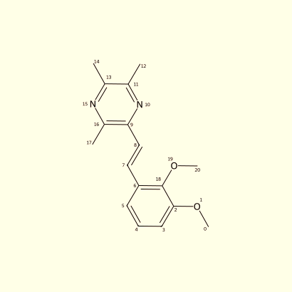 COc1cccc(C=Cc2nc(C)c(C)nc2C)c1OC